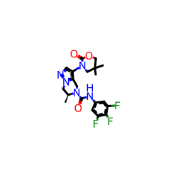 C[C@H]1Cn2ncc(N3CC(C)(C)COC3=O)c2CN1C(=O)Nc1cc(F)c(F)c(F)c1